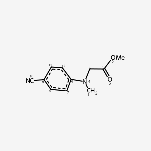 COC(=O)CN(C)c1ccc(C#N)cc1